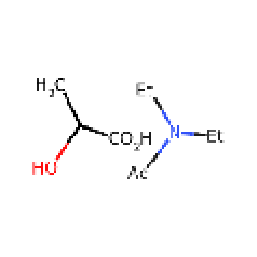 CC(O)C(=O)O.CCN(CC)C(C)=O